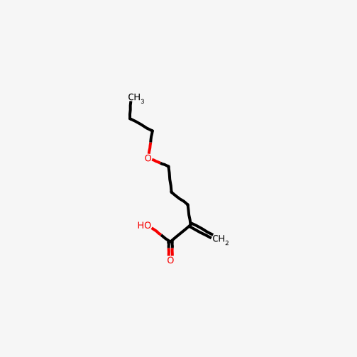 C=C(CCCOCCC)C(=O)O